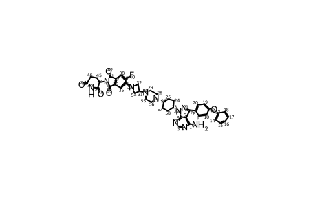 Nc1ncnc2c1c(-c1ccc(Oc3ccccc3)cc1)nn2[C@H]1CC[C@@H](N2CCN(C3CN(c4cc5c(cc4F)C(=O)N(C4CCC(=O)NC4=O)C5=O)C3)CC2)CC1